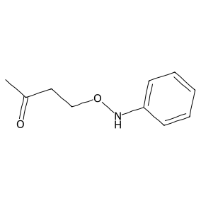 CC(=O)CCONc1ccccc1